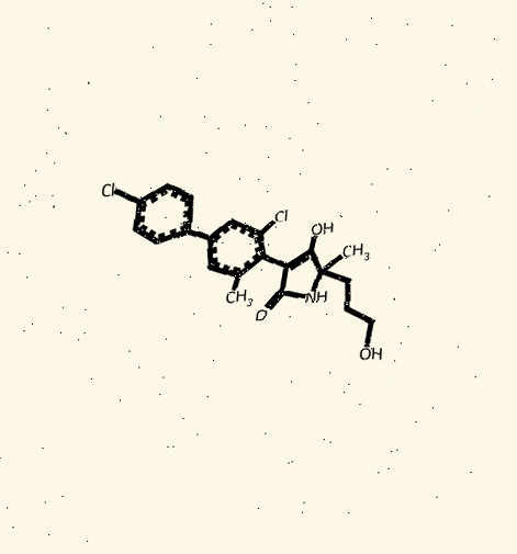 Cc1cc(-c2ccc(Cl)cc2)cc(Cl)c1C1=C(O)C(C)(CCCO)NC1=O